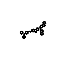 CC1(C)c2ccccc2-c2ccc(N(c3ccc4c(c3)C(C)(C)c3cc(/C=C/c5ccc(N(c6ccccc6)c6ccccc6)cc5)ccc3-4)c3ccc4ccccc4c3)cc21